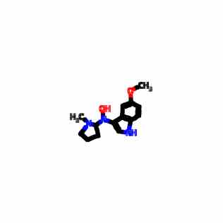 COc1ccc2[nH]cc(N(O)C3CCCN3C)c2c1